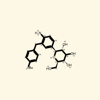 CCCCc1ccc(Cc2cc([C@@H]3O[C@H](CO)[C@@H](O)C(O)[C@H]3O)ccc2N)cc1